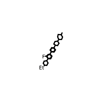 CCC1CCC(c2ccc(-c3ccc(C4CCC(C5CCC(C)CC5)CC4)cc3)cc2F)CC1